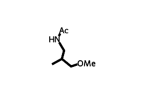 COCC(C)CNC(C)=O